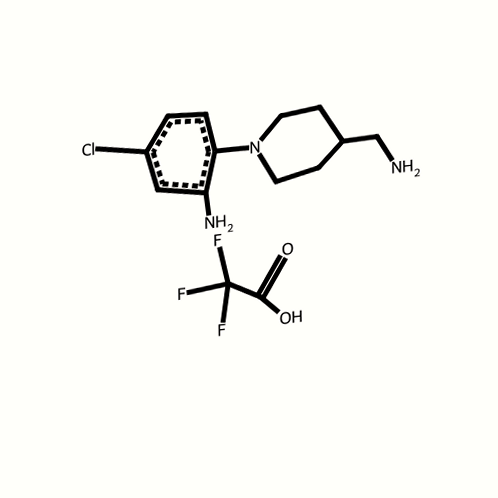 NCC1CCN(c2ccc(Cl)cc2N)CC1.O=C(O)C(F)(F)F